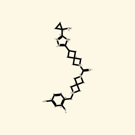 O=C(N1CC2(CC(c3nnc(C4(O)CC4)[nH]3)C2)C1)N1CC2(CN(Cc3ccc(F)cc3F)C2)C1